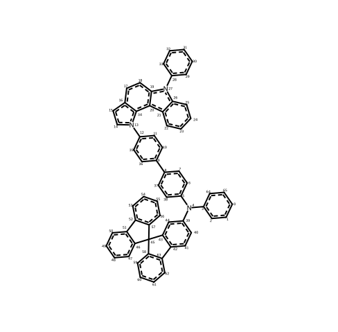 c1ccc(N(c2ccc(-c3ccc(-n4ccc5ccc6c(c7ccccc7n6-c6ccccc6)c54)cc3)cc2)c2ccc3c(c2)C2(c4ccccc4-c4ccccc42)c2ccccc2-3)cc1